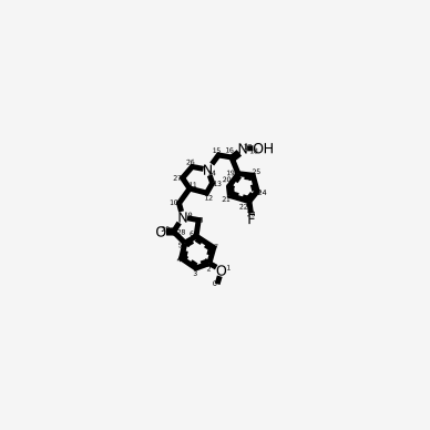 COc1ccc2c(c1)CN(CC1CCN(C/C(=N/O)c3ccc(F)cc3)CC1)C2=O